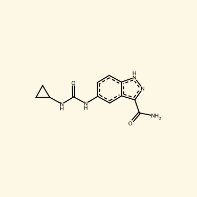 NC(=O)c1n[nH]c2ccc(NC(=O)NC3CC3)cc12